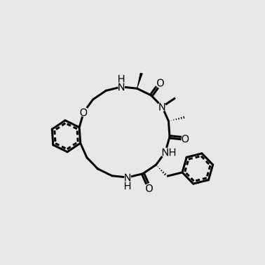 C[C@@H]1NCCOc2ccccc2CCCNC(=O)[C@@H](Cc2ccccc2)NC(=O)[C@@H](C)N(C)C1=O